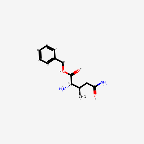 NC(=O)CC(C=O)[C@H](N)C(=O)OCc1ccccc1